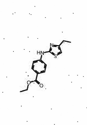 CCOC(=O)c1ccc(Nc2nc(CC)cs2)cc1